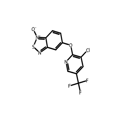 [O-][n+]1snc2cc(Oc3ncc(C(F)(F)F)cc3Cl)ccc21